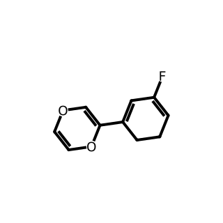 FC1=CCCC(C2=COC=CO2)=C1